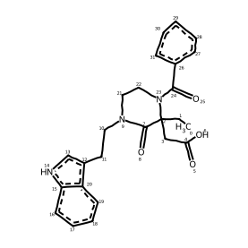 CCC1(CC(=O)O)C(=O)N(CCc2c[nH]c3ccccc23)CCN1C(=O)c1ccccc1